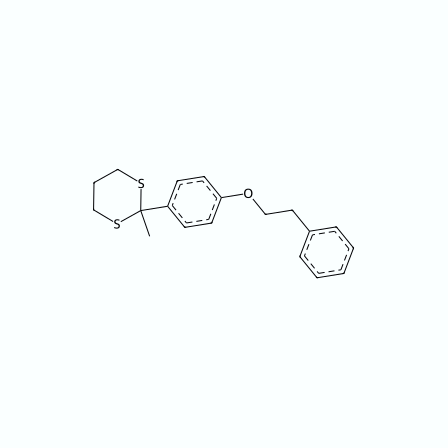 CC1(c2ccc(OCCc3ccccc3)cc2)SCCCS1